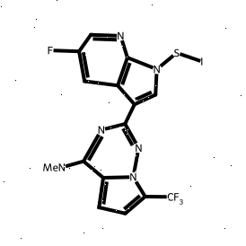 CNc1nc(-c2cn(SI)c3ncc(F)cc23)nn2c(C(F)(F)F)ccc12